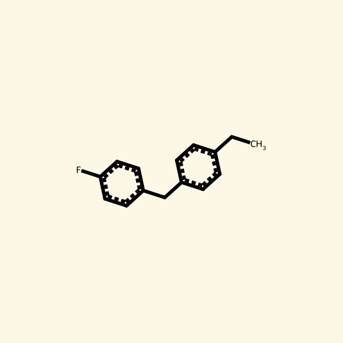 CCc1ccc(Cc2ccc(F)cc2)cc1